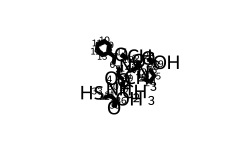 CCOC(=O)[C@H](CCc1ccccc1)N(C(C)=O)[C@@H](C)C(=O)N1CCC[C@H]1C(=O)O.N[C@@H](CS)C(=O)O